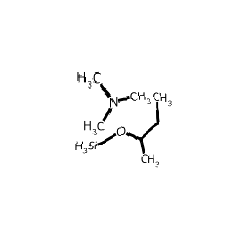 CCC(C)O[SiH3].CN(C)C